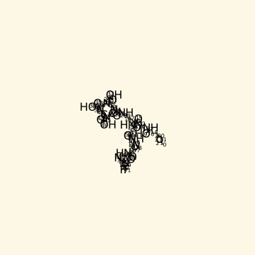 Cc1ccc(CCCC(=O)NCCNC(=O)C(CCCCNC(=O)CN2CCN(CC(=O)O)CCN(CC(=O)O)CCN(CC(=O)O)CC2)NC(=O)CCC(=O)NCc2cc(C(=O)NC(C)C(=O)N3CC(F)(F)C[C@H]3C#N)ccn2)cc1